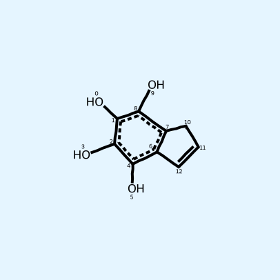 Oc1c(O)c(O)c2c(c1O)[CH]C=C2